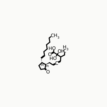 CCCCCCC=C[C@H]1CCC(=O)[C@@H]1CC=C=CC(CC)C(O)(O)C(=O)O